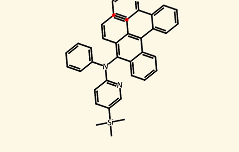 C[Si](C)(C)c1ccc(N(c2ccccc2)c2c3ccccc3c(-c3ccccc3-c3ccccc3)c3ccccc23)nc1